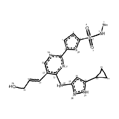 CC(C)(C)NS(=O)(=O)c1ccc(-c2ncc(C=CCO)c(Nc3cc(C4CC4)[nH]n3)n2)s1